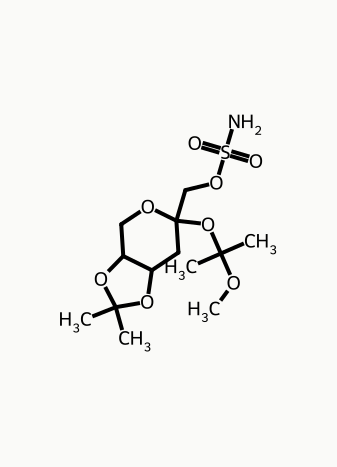 COC(C)(C)OC1(COS(N)(=O)=O)CC2OC(C)(C)OC2CO1